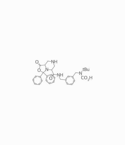 CC(C)(C)N(Cc1cccc(CNC(=O)C2CNCC3C(=O)OC(c4ccccc4)(c4ccccc4)N23)c1)C(=O)O